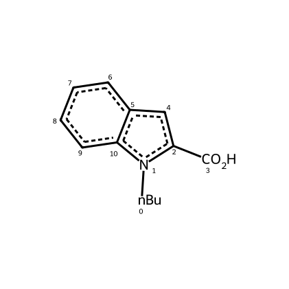 CCCCn1c(C(=O)O)cc2ccccc21